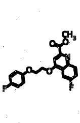 COC(=O)c1cc(OCCOc2ccc(F)cc2)c2cc(F)ccc2n1